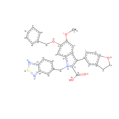 COc1cc2c(-c3ccc4c(c3)CCO4)c(C(=O)O)n(Cc3ccc4nsnc4c3)c2cc1OCc1ccccc1